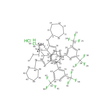 CC[CH2][Zr]([CH3])(=[SiH2])([CH]1C(CC2CCCCCC2)=Cc2c(-c3cc(C(F)(F)F)cc(C(F)(F)F)c3)cccc21)[CH]1C(CC2CCCCCC2)=Cc2c(-c3cc(C(F)(F)F)cc(C(F)(F)F)c3)cccc21.Cl.Cl